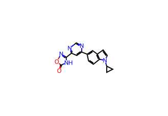 O=c1[nH]c(-c2cc(-c3ccc4c(ccn4C4CC4)c3)ncn2)no1